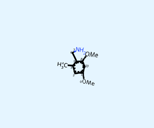 COc1cc(C)c(CN)c(OC)c1